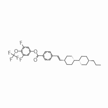 CCC[C@H]1CC[C@H]([C@H]2CC[C@H](C=Cc3ccc(C(=O)Oc4cc(F)c(OC(F)(F)F)c(F)c4)cc3)CC2)CC1